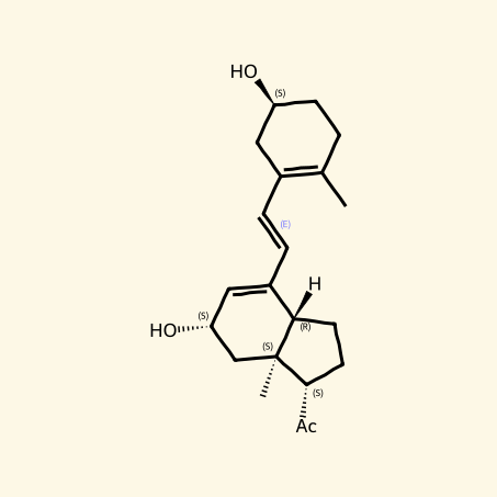 CC(=O)[C@H]1CC[C@H]2C(/C=C/C3=C(C)CC[C@H](O)C3)=C[C@@H](O)C[C@]12C